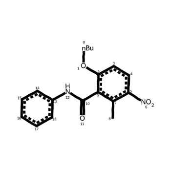 CCCCOc1ccc([N+](=O)[O-])c(C)c1C(=O)Nc1ccccc1